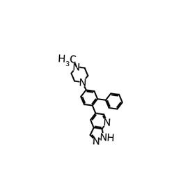 CN1CCN(c2ccc(-c3cnc4[nH]ncc4c3)c(-c3ccccc3)c2)CC1